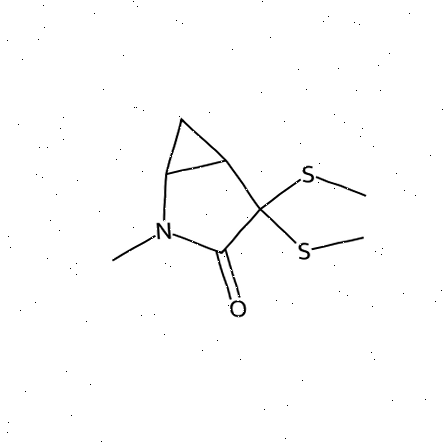 CSC1(SC)C(=O)N(C)C2CC21